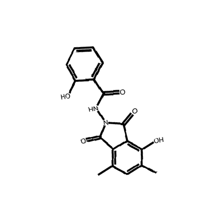 Cc1cc(C)c2c(c1O)C(=O)N(NC(=O)c1ccccc1O)C2=O